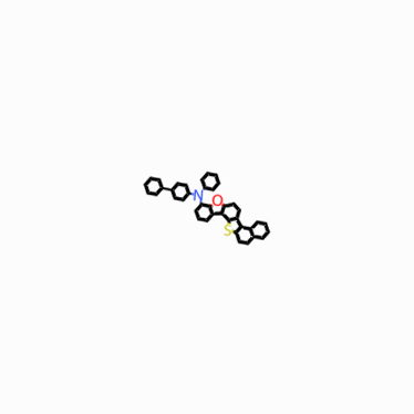 c1ccc(-c2ccc(N(c3ccccc3)c3cccc4c3oc3ccc5c(sc6ccc7ccccc7c65)c34)cc2)cc1